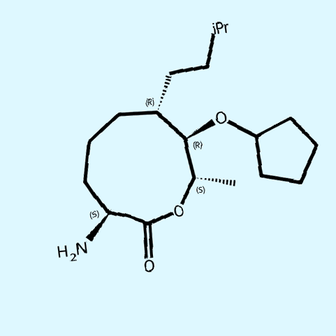 CC(C)CC[C@H]1CCC[C@H](N)C(=O)O[C@@H](C)[C@@H]1OC1CCCC1